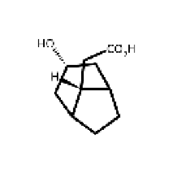 O=C(O)C[C@H]1C2CCC1C[C@@H](O)C2